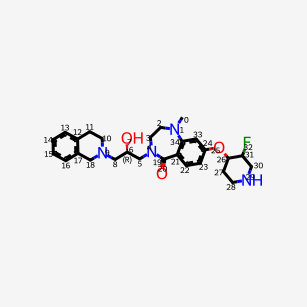 CN1CCN(C[C@H](O)CN2CCc3ccccc3C2)C(=O)c2ccc(OC3CCNCC3F)cc21